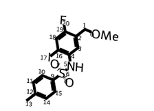 COCc1cc(NS(=O)(=O)c2ccc(C)cc2)c(I)cc1F